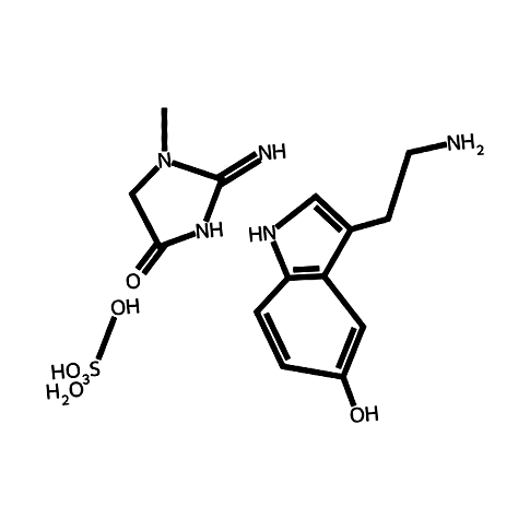 CN1CC(=O)NC1=N.NCCc1c[nH]c2ccc(O)cc12.O.O=S(=O)(O)O